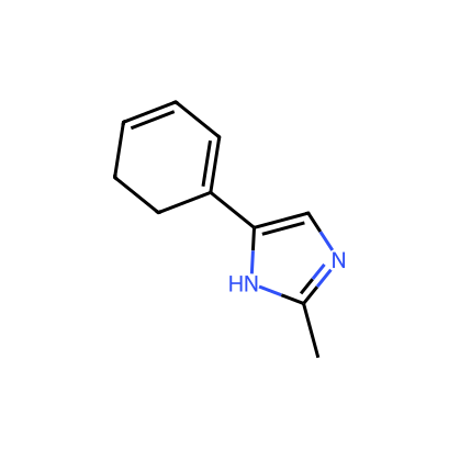 Cc1ncc(C2=CC=CCC2)[nH]1